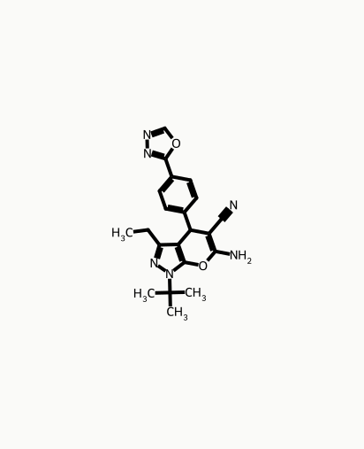 CCc1nn(C(C)(C)C)c2c1C(c1ccc(-c3nnco3)cc1)C(C#N)=C(N)O2